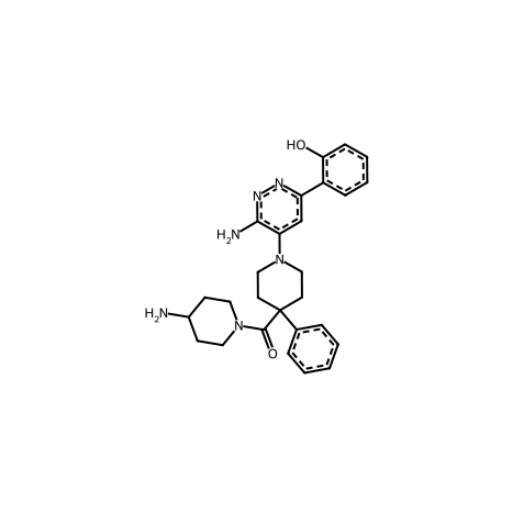 Nc1nnc(-c2ccccc2O)cc1N1CCC(C(=O)N2CCC(N)CC2)(c2ccccc2)CC1